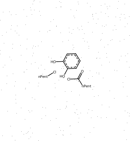 CCCCCC(=O)Cl.CCCCCCl.Oc1ccccc1O